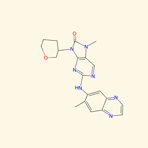 Cc1cc2nccnc2cc1Nc1ncc2c(n1)n(C1CCCOC1)c(=O)n2C